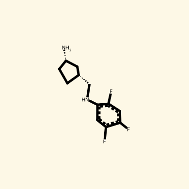 N[C@H]1CC[C@@H](CNc2cc(F)c(F)cc2F)C1